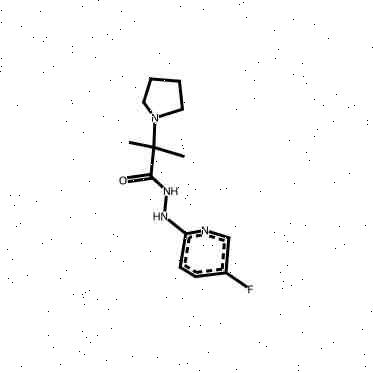 CC(C)(C(=O)NNc1ccc(F)cn1)N1CCCC1